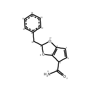 NC(=O)C1C=CC2=C1OC(Cc1ccccc1)O2